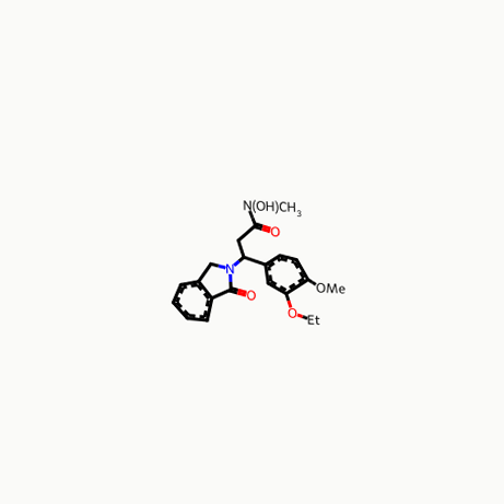 CCOc1cc(C(CC(=O)N(C)O)N2Cc3ccccc3C2=O)ccc1OC